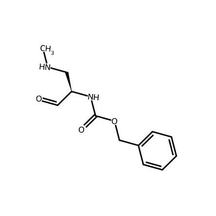 CNC[C@H](C=O)NC(=O)OCc1ccccc1